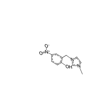 Cn1cc[n+](Cc2cc([N+](=O)[O-])ccc2O)c1